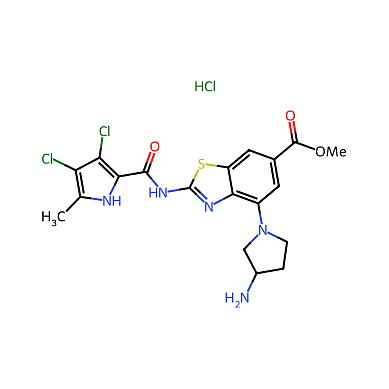 COC(=O)c1cc(N2CCC(N)C2)c2nc(NC(=O)c3[nH]c(C)c(Cl)c3Cl)sc2c1.Cl